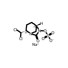 O=C1N2C[C@H](CC[C@H]2C(Cl)Cl)N1OS(=O)(=O)[O-].[Na+]